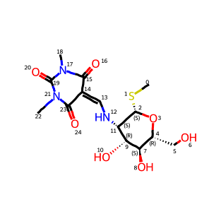 CS[C@@H]1O[C@H](CO)[C@@H](O)[C@H](O)[C@@H]1NC=C1C(=O)N(C)C(=O)N(C)C1=O